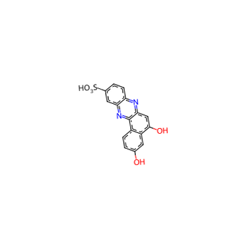 O=S(=O)(O)c1ccc2nc3cc(O)c4cc(O)ccc4c3nc2c1